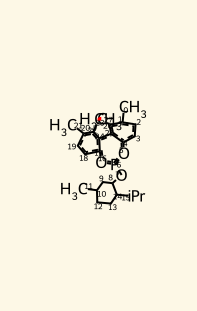 Cc1ccc2op(OC3CC(C)CCC3C(C)C)oc3ccc(C)c(C)c3c2c1C